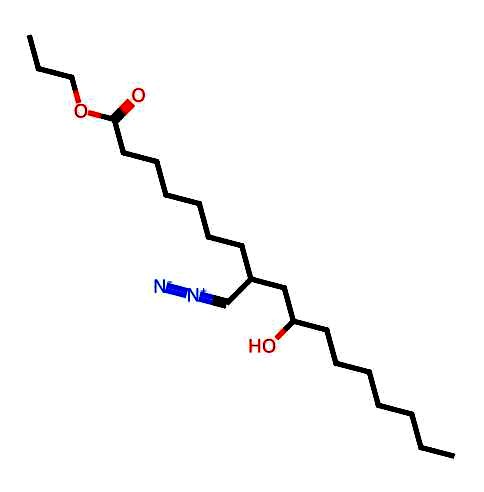 CCCCCCCC(O)CC(C=[N+]=[N-])CCCCCCC(=O)OCCC